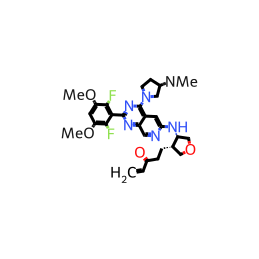 C=CC(=O)CC[C@H]1COC[C@H]1Nc1cc2c(N3CCC(NC)C3)nc(-c3c(F)c(OC)cc(OC)c3F)nc2cn1